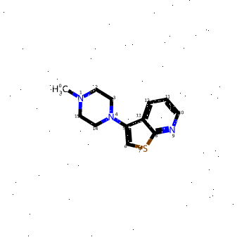 CN1CCN(c2csc3ncccc23)CC1